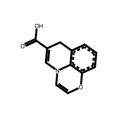 O=C(O)C1=CN2C=COc3cccc(c32)C1